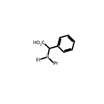 CCN(C(C)C)C(C(=O)O)c1ccccc1